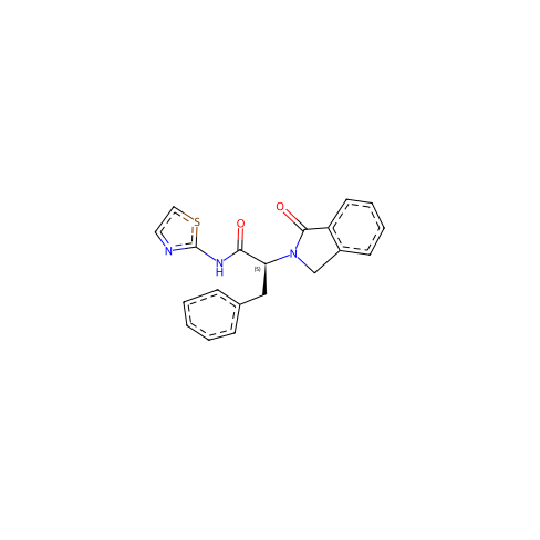 O=C(Nc1nccs1)[C@H](Cc1ccccc1)N1Cc2ccccc2C1=O